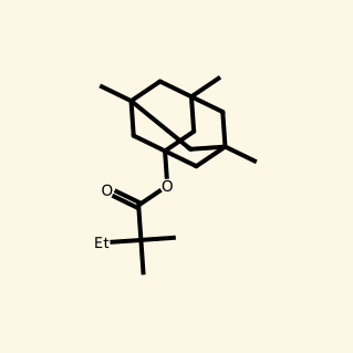 CCC(C)(C)C(=O)OC12CC3(C)CC(C)(CC(C)(C3)C1)C2